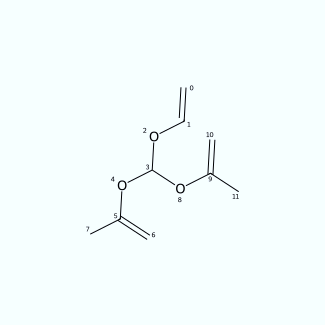 C=COC(OC(=C)C)OC(=C)C